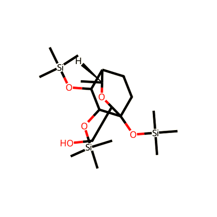 C[C@H]1OC(CO)C2(O[Si](C)(C)C)CCC1C(O[Si](C)(C)C)C2O[Si](C)(C)C